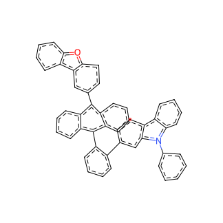 c1ccc(-n2c3ccccc3c3ccc(-c4ccccc4-c4c5ccccc5c(-c5ccc6oc7ccccc7c6c5)c5ccccc45)cc32)cc1